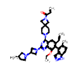 C=CC(=O)N1CC2(CCN(c3nc(N4CC(N5CC[C@@H](C)C5)C4)nc4c(OCC(F)(F)F)c(-c5c(C)ccc6[nH]ncc56)c(C=C)cc34)CC2)C1